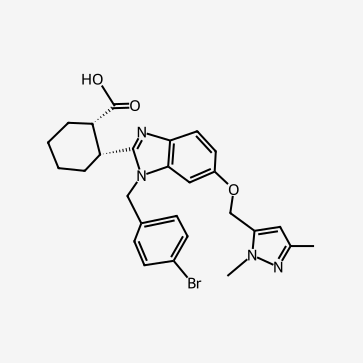 Cc1cc(COc2ccc3nc([C@@H]4CCCC[C@@H]4C(=O)O)n(Cc4ccc(Br)cc4)c3c2)n(C)n1